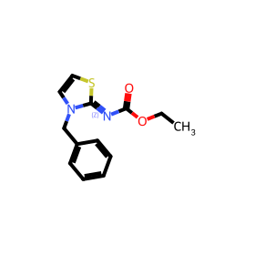 CCOC(=O)/N=c1\sccn1Cc1ccccc1